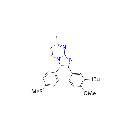 COc1ccc(-c2nc3nc(C)ccn3c2-c2ccc(SC)cc2)cc1C(C)(C)C